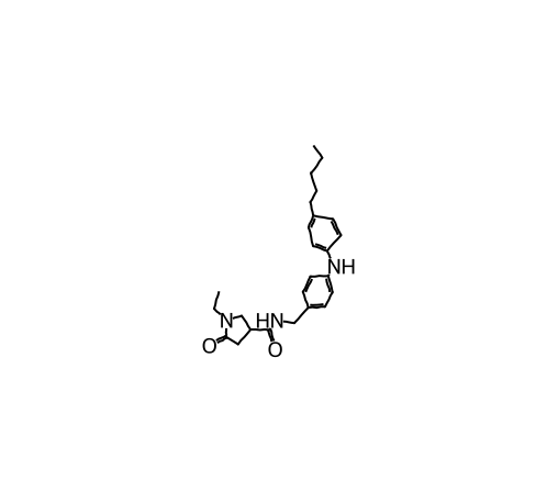 CCCCCc1ccc(Nc2ccc(CNC(=O)C3CC(=O)N(CC)C3)cc2)cc1